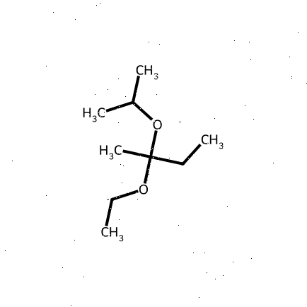 C[CH]OC(C)(CC)OC(C)C